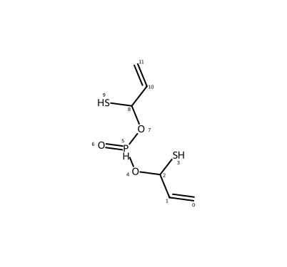 C=CC(S)O[PH](=O)OC(S)C=C